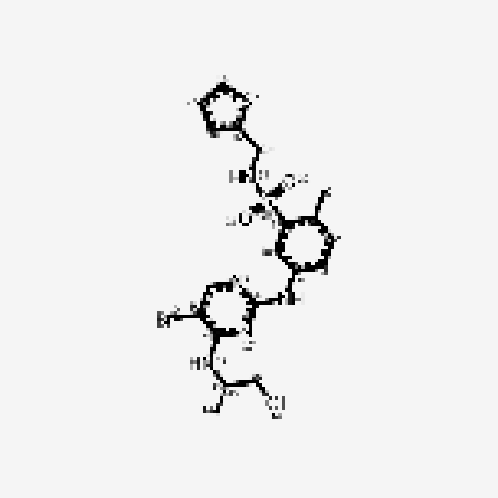 Cc1ccc(Nc2ncc(Br)c(N[C@H](C)CO)n2)cc1S(=O)(=O)NCc1cccs1